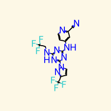 N#Cc1cc(Nc2nc(NCC(F)(F)F)nc(-n3ccc(C(F)(F)F)n3)n2)ccn1